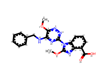 COc1nnc(-n2c(OC)nc3c(C(=O)O)cccc32)nc1NCc1ccccc1